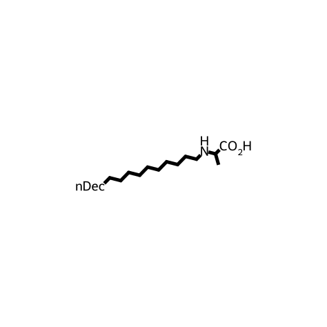 CCCCCCCCCCCCCCCCCCCCNC(C)C(=O)O